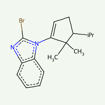 CC(C)C1CC=C(n2c(Br)nc3ccccc32)C1(C)C